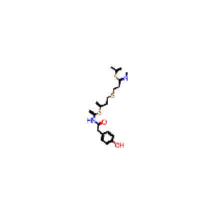 C=C(C)S/C(CCSCCC(=C)SC(=C)NC(=O)Cc1ccc(O)cc1)=N\C